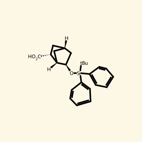 CC(C)(C)[Si](O[C@@H]1C[C@@H]2C[C@H]1[C@H](C(=O)O)C2)(c1ccccc1)c1ccccc1